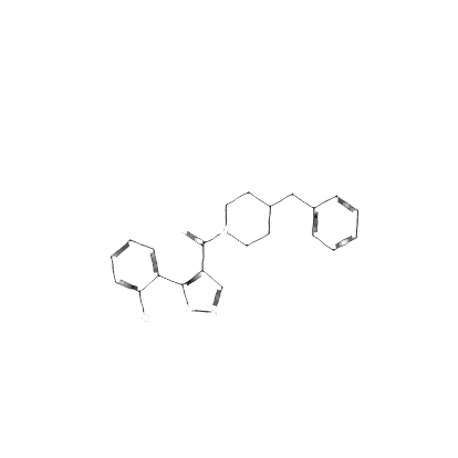 O=C(c1cnoc1-c1ccccc1Cl)N1CCC(Cc2ccccc2)CC1